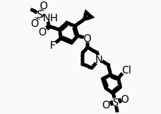 CS(=O)(=O)NC(=O)c1cc(C2CC2)c(OC2CCCN(Cc3ccc(S(C)(=O)=O)cc3Cl)C2)cc1F